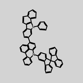 c1ccc(-c2ccccc2N(c2ccc(-c3ccc4c5ccc6ccccc6c5n(-c5ccccc5)c4c3)cc2)c2ccc3c(c2)-c2ccccc2C32c3ccccc3-c3ccccc32)cc1